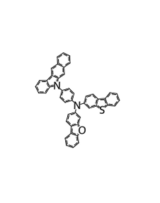 c1ccc2cc3c(cc2c1)c1ccccc1n3-c1ccc(N(c2ccc3c(c2)oc2ccccc23)c2ccc3c(c2)sc2ccccc23)cc1